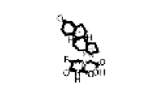 C[C@]12CC[C@H]3[C@@H](CCC4=CC(=O)CC[C@@]43C)[C@@H]1CC[C@@H]2C(C(=O)O)n1cc(F)c(=O)[nH]c1=O